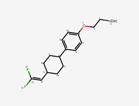 CCCCCCCCCCCCOc1ccc(C2CCC(C=C(F)F)CC2)cc1